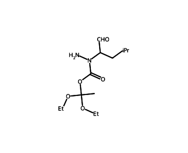 CCOC(C)(OCC)OC(=O)N(N)C(C=O)CC(C)C